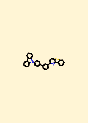 c1cc(-c2ccc(-n3c4ccccc4c4ccccc43)cc2)cc(-c2ccc3sc4ccccc4c3n2)c1